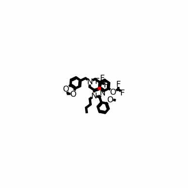 CCCCn1c(-c2ccccc2OC)nc(C(F)(F)F)c1CN(Cc1ccc(OC(F)F)cc1)Cc1ccc2c(c1)OCO2